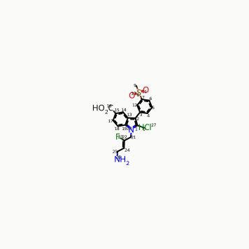 Cc1c(-c2cccc(S(C)(=O)=O)c2)c2cc(C(=O)O)ccc2n1CC(F)=CCN.Cl